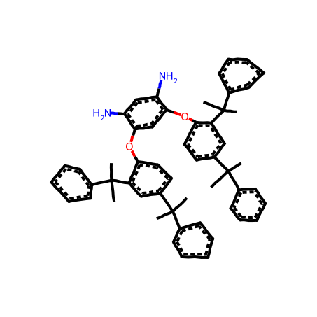 CC(C)(c1ccccc1)c1ccc(Oc2cc(Oc3ccc(C(C)(C)c4ccccc4)cc3C(C)(C)c3ccccc3)c(N)cc2N)c(C(C)(C)c2ccccc2)c1